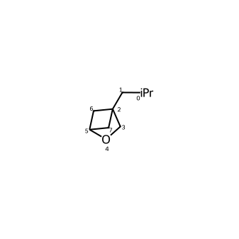 CC(C)CC12COC(C1)C2